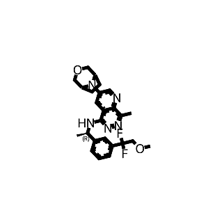 COCC(F)(F)c1cccc([C@@H](C)Nc2nnc(C)c3ncc(N4C5CCC4COC5)cc23)c1